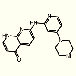 O=c1cc[nH]c2nc(Nc3cc(N4CCNCC4)ccn3)ccc12